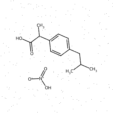 CC(C)Cc1ccc(C(C)C(=O)O)cc1.O=[N+]([O-])O